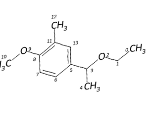 CCOC(C)c1ccc(OC)c(C)c1